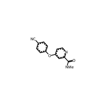 CNC(=O)c1cc(Oc2ccc(C#N)cc2)ccn1